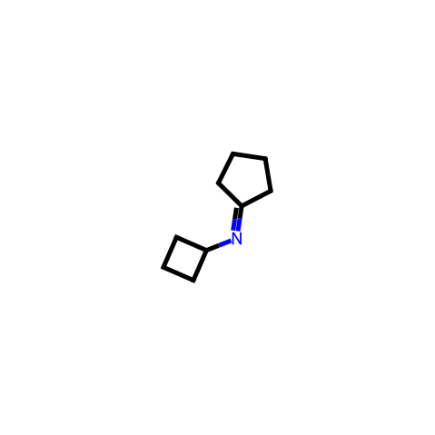 C1CCC(=NC2CCC2)C1